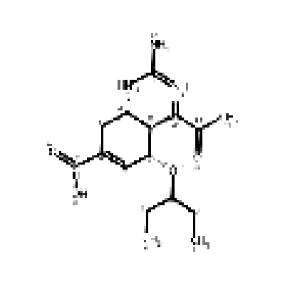 CCC(CC)O[C@@H]1C=C([PH](=O)O)C[C@H](NC(=N)N)[C@H]1NC(C)=O